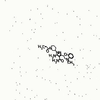 C=CC(=O)N1CCC[C@@H](n2nc(C3CN(C)c4ccccc4O3)c(C(N)=O)c2N)C1